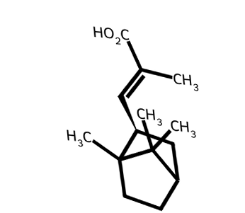 CC(=C[C@H]1CC2CCC1(C)C2(C)C)C(=O)O